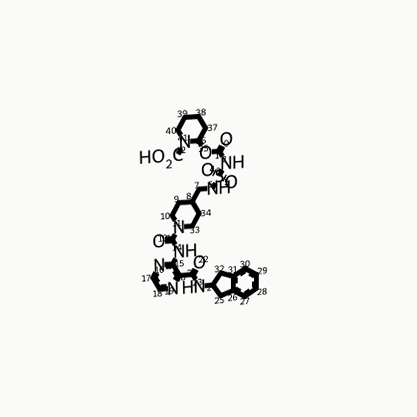 O=C(NS(=O)(=O)NCC1CCN(C(=O)Nc2nccnc2C(=O)NC2Cc3ccccc3C2)CC1)OC1CCCCN1C(=O)O